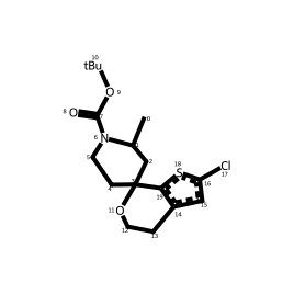 CC1CC2(CCN1C(=O)OC(C)(C)C)OCCc1cc(Cl)sc12